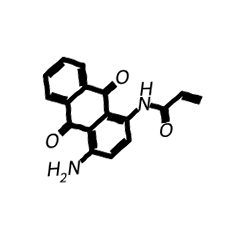 C=CC(=O)Nc1ccc(N)c2c1C(=O)c1ccccc1C2=O